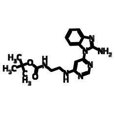 CC(C)(C)OC(=O)NCCNc1cc(-n2c(N)nc3ccccc32)ncn1